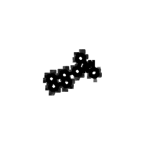 c1ccc2c(c1)nc1c3ccccc3c3cc(-c4ccc5c6cccc7cccc(c8cccc4c85)c76)ccc3n21